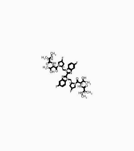 CN[C@H](C)C(=O)N[C@@H](C(=O)N1CC(F)C[C@H]1Cn1c(-c2nc3cc(F)ccc3n2C[C@@H]2CC(F)CN2C(=O)[C@H](NC(=O)[C@@H](C)NC)C(C)O)nc2cc(F)ccc21)C(C)O